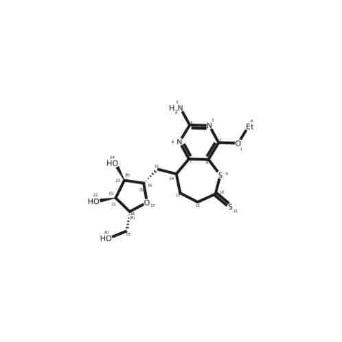 CCOc1nc(N)nc2c1SC(=S)CCC2C[C@@H]1O[C@H](CO)[C@@H](O)[C@H]1O